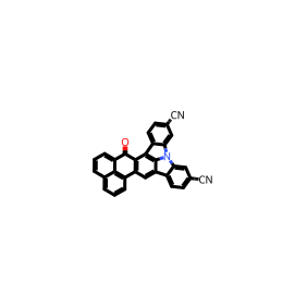 N#Cc1ccc2c3cc4c5cccc6cccc(c(=O)c4c4c7ccc(C#N)cc7n(c2c1)c34)c65